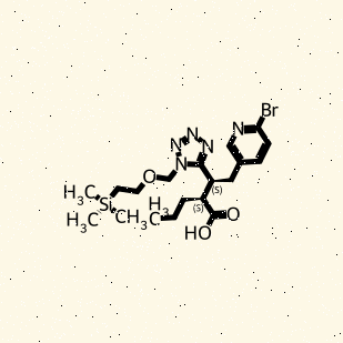 CCC[C@H](C(=O)O)[C@H](Cc1ccc(Br)nc1)c1nnnn1COCC[Si](C)(C)C